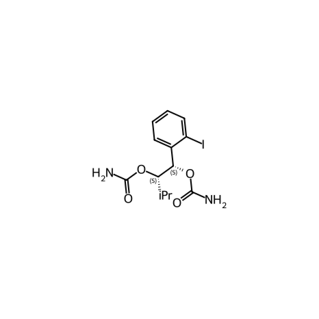 CC(C)[C@H](OC(N)=O)[C@@H](OC(N)=O)c1ccccc1I